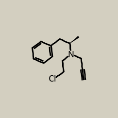 C#CCN(CCCl)[C@H](C)Cc1ccccc1